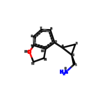 NC[C@@H]1CC1c1cccc2c1CCO2